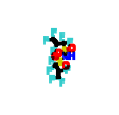 O=S(=O)(NS(=O)(=O)C(F)(F)C(F)=C(F)F)C(F)(F)C(F)=C(F)F